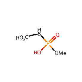 COP(=O)(O)BC(=O)O